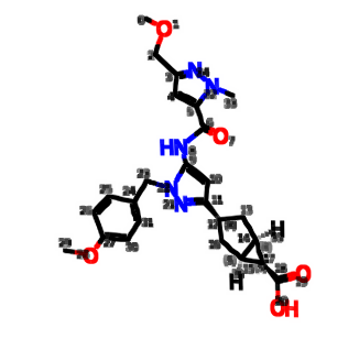 COCc1cc(C(=O)Nc2cc([C@H]3C[C@@H]4[C@H](C3)[C@@H]4C(=O)O)nn2Cc2ccc(OC)cc2)n(C)n1